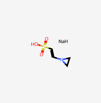 O=S(=O)(O)C=CN1CC1.[NaH]